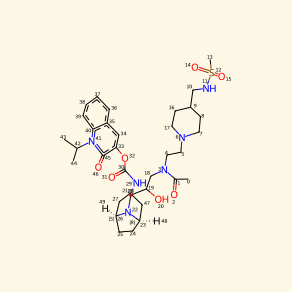 CC(=O)N(CCN1CCC(CNS(C)(=O)=O)CC1)CC(O)CN1[C@@H]2CC[C@H]1C[C@H](NC(=O)Oc1cc3ccccc3n(C(C)C)c1=O)C2